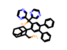 PCC1C2CC3CC(C2)CC1(c1cc(-c2ccccc2)c(-c2ccccc2)cc1C(P)(c1cnccn1)c1cnccn1)C3